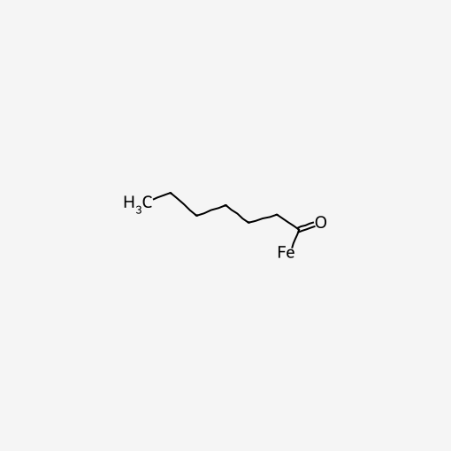 CCCCCC[C](=O)[Fe]